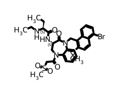 CCN[C@@H](CC)C(=O)N[C@H]1CN(C(=O)CS(C)(=O)=O)c2ccccc2N(Cc2c(OC)ccc3c(Br)cccc23)C1=O